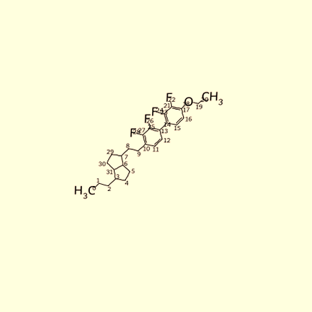 CCCC1CCC2C(CCc3ccc(-c4ccc(OCC)c(F)c4F)c(F)c3F)CCC12